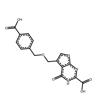 O=C(O)c1ccc(COCc2csc3nc(C(=O)O)[nH]c(=O)c23)cc1